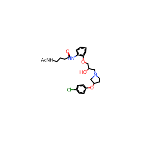 CC(=O)NCCCC(=O)Nc1ccccc1OCC(O)CN1CCC(Oc2ccc(Cl)cc2)C1